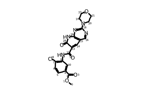 COC(=O)c1ccc(Cl)c(NC(=O)c2cc3cnc(N4CCOCC4)nc3[nH]c2=O)c1